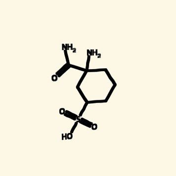 NC(=O)C1(N)CCCC(S(=O)(=O)O)C1